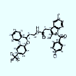 Cc1ccc2c(c1)c(CC(=O)NCCC(Oc1ccc(C(F)(F)F)cc1)c1ccccc1)c(C)n2C(=O)c1ccc(Cl)cc1